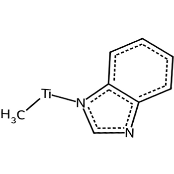 [CH3][Ti][n]1cnc2ccccc21